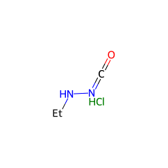 CCNN=C=O.Cl